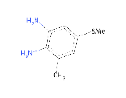 CSc1cc(C)c(N)c(N)c1